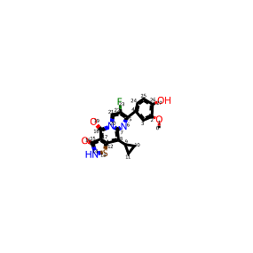 COc1cc(-c2nc3c(C4CC4)c4s[nH]c(=O)c4c(=O)n3cc2F)ccc1O